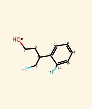 OCCC(CF)c1ccccc1F